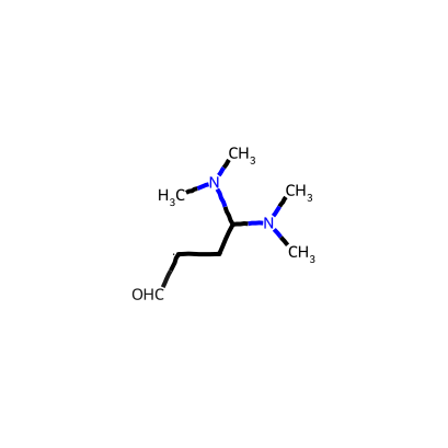 CN(C)C(C[CH]C=O)N(C)C